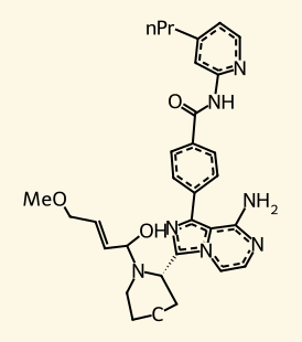 CCCc1ccnc(NC(=O)c2ccc(-c3nc([C@@H]4CCCCN4C(O)/C=C/COC)n4ccnc(N)c34)cc2)c1